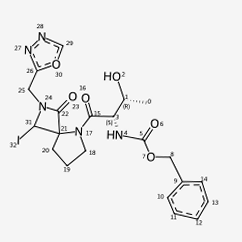 C[C@@H](O)[C@H](NC(=O)OCc1ccccc1)C(=O)N1CCCC12C(=O)N(Cc1nnco1)C2I